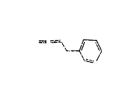 O=C=CCc1cccnc1